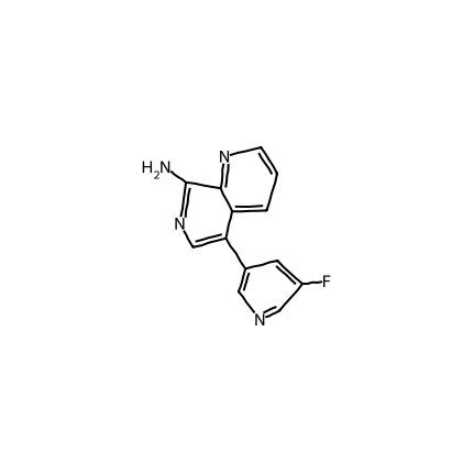 Nc1ncc(-c2cncc(F)c2)c2cccnc12